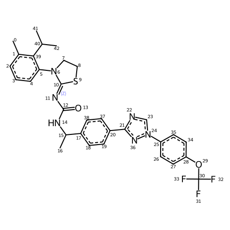 Cc1cccc(N2CCS/C2=N\C(=O)NC(C)c2ccc(-c3ncn(-c4ccc(OC(F)(F)F)cc4)n3)cc2)c1C(C)C